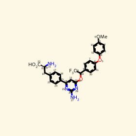 COc1ccc(Oc2ccc(C(Oc3cc(-c4ccc(C[C@H](N)C(=O)O)cc4)nc(N)n3)C(F)(F)F)cc2)cc1